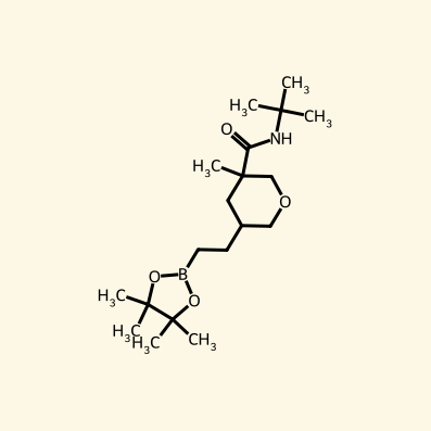 CC(C)(C)NC(=O)C1(C)COCC(CCB2OC(C)(C)C(C)(C)O2)C1